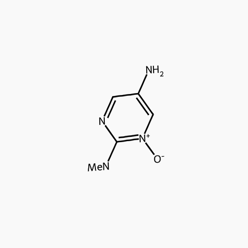 CNc1ncc(N)c[n+]1[O-]